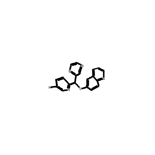 Fc1ccc(C(Oc2ccc3ncccc3c2)c2cnccn2)nc1